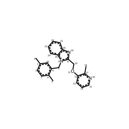 Cc1ccc(C)c(Cn2c(COc3cccnc3C)nc3ccccc32)c1